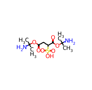 CC(C)(N)OC(=O)CC(C(=O)OC(C)(C)N)S(=O)(=O)O